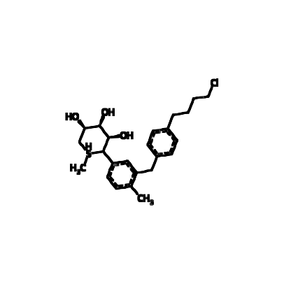 Cc1ccc(C2[C@H](O)[C@H](O)[C@H](O)C[SH]2C)cc1Cc1ccc(CCCCCl)cc1